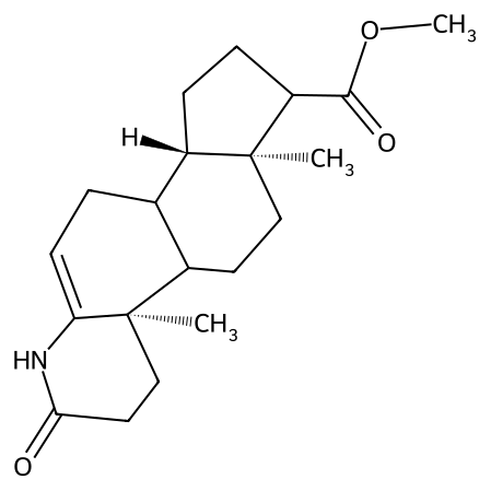 COC(=O)C1CC[C@H]2C3CC=C4NC(=O)CC[C@]4(C)C3CC[C@]12C